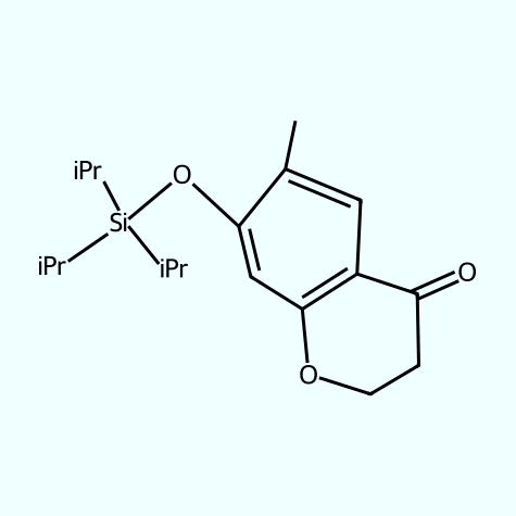 Cc1cc2c(cc1O[Si](C(C)C)(C(C)C)C(C)C)OCCC2=O